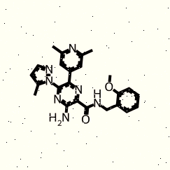 COc1ccccc1CNC(=O)c1nc(-c2cc(C)nc(C)c2)c(-n2nccc2C)nc1N